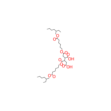 CCCCC(CC)COC(=O)CCCCCOC(=O)CC(C(=O)O)C(CC(=O)O)C(=O)OCCCCCC(=O)OCC(CC)CCCC